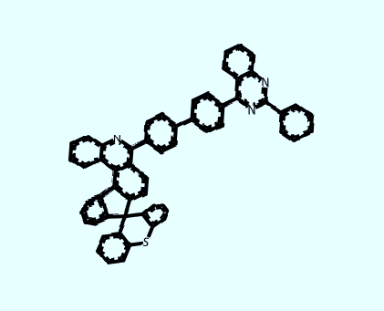 c1ccc(-c2nc(-c3ccc(-c4ccc(-c5nc6ccccc6c6c7c(ccc56)C5(c6ccccc6Sc6ccccc65)c5ccccc5-7)cc4)cc3)c3ccccc3n2)cc1